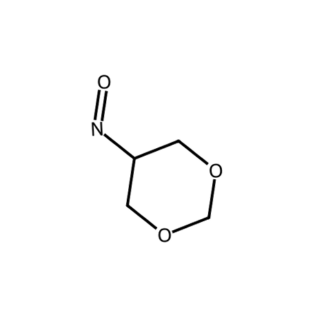 O=NC1COCOC1